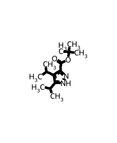 CC(C)c1[nH]nc(C(=O)OC(C)(C)C)c1C(C)C